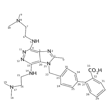 Cc1nc2c(NCCN(C)C)nnc(NCCN(C)C)c2n1Cc1ccc(-c2ccccc2C(=O)O)cc1